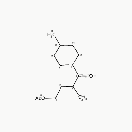 CC(=O)OCCC(C)C(=O)C1CCC(C)CC1